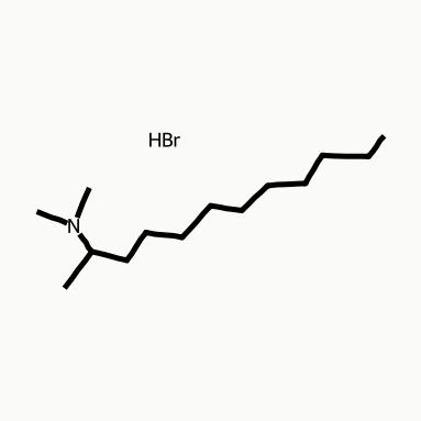 Br.CCCCCCCCCCC(C)N(C)C